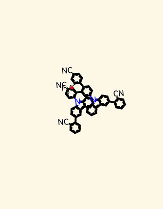 N#Cc1ccc(-n2c3ccccc3c3cc(-c4ccccc4C#N)ccc32)c(-c2cc(-n3c4ccccc4c4cc(-c5ccccc5C#N)ccc43)ccc2-c2ccc(C#N)cc2C(F)(F)F)c1